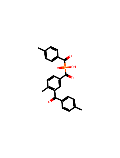 Cc1ccc(C(=O)c2cc(C(=O)P(=O)(O)C(=O)c3ccc(C)cc3)ccc2C)cc1